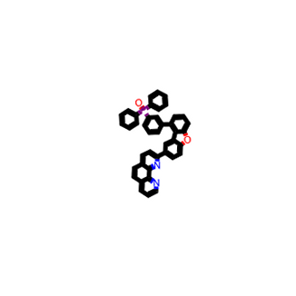 O=P(c1ccccc1)(c1ccccc1)c1cccc(-c2cccc3oc4ccc(-c5ccc6ccc7cccnc7c6n5)cc4c23)c1